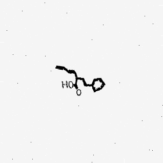 C=CC=CC(C=Cc1ccccc1)C(=O)O